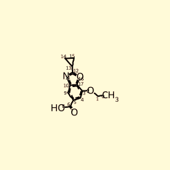 CCOc1cc(C(=O)O)cc2nc(C3CC3)oc12